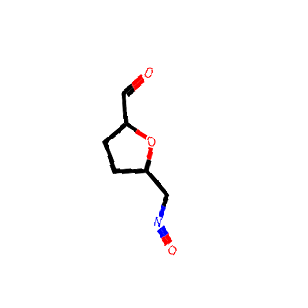 O=CC1CCC(CN=O)O1